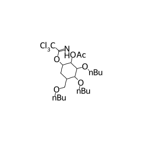 CCCCOCC1CC(OC(=N)C(Cl)(Cl)Cl)C(OC(C)=O)C(OCCCC)C1OCCCC